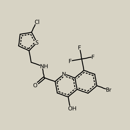 O=C(NCc1ccc(Cl)s1)c1cc(O)c2cc(Br)cc(C(F)(F)F)c2n1